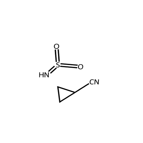 N#CC1CC1.N=S(=O)=O